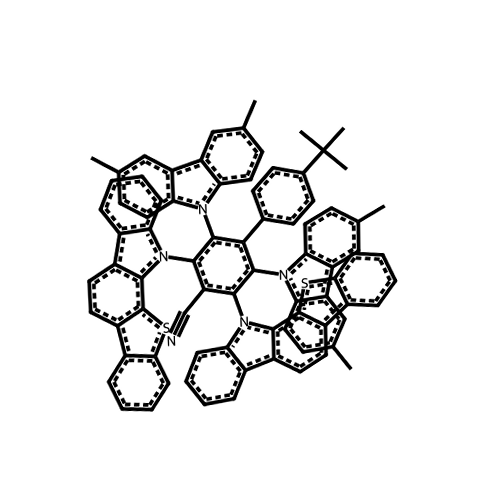 Cc1ccc2c(c1)c1cc(C)ccc1n2-c1c(-c2ccc(C(C)(C)C)cc2)c(-n2c3ccc(C)cc3c3cc(C)ccc32)c(-n2c3ccccc3c3ccc4c5ccccc5sc4c32)c(C#N)c1-n1c2ccccc2c2ccc3c4ccccc4sc3c21